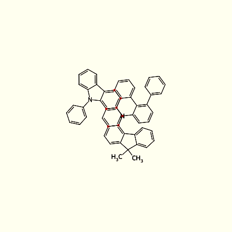 CC1(C)c2ccccc2-c2c(N(c3ccc4c5ccccc5n(-c5ccccc5)c4c3)c3cccc(-c4ccccc4)c3-c3ccccc3-c3ccccc3)cccc21